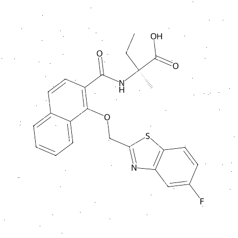 CC[C@](C)(NC(=O)c1ccc2ccccc2c1OCc1nc2cc(F)ccc2s1)C(=O)O